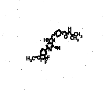 CCOc1ccc(-c2cc3[nH]c(CN4CCN(CC(=O)NC(C)C)CC4)nc3c(C#N)n2)cc1C(F)(F)F